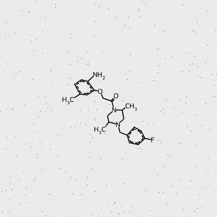 Cc1ccc(N)c(OCC(=O)N2CC(C)N(Cc3ccc(F)cc3)CC2C)c1